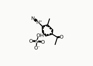 CC(=O)c1ccc([N+]#N)c(C)c1.O=S(=O)([O-])O